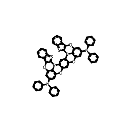 c1ccc(N(c2ccccc2)c2cc3c4c(c2)Oc2c(sc5ccccc25)B4c2cc4c(cc2O3)Oc2cc(N(c3ccccc3)c3ccccc3)cc3c2B4c2sc4ccccc4c2O3)cc1